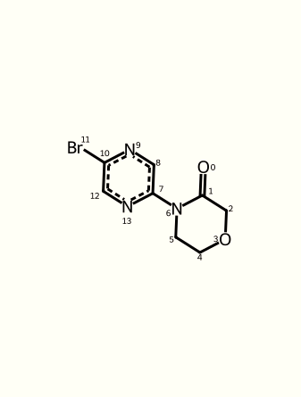 O=C1COCCN1c1cnc(Br)cn1